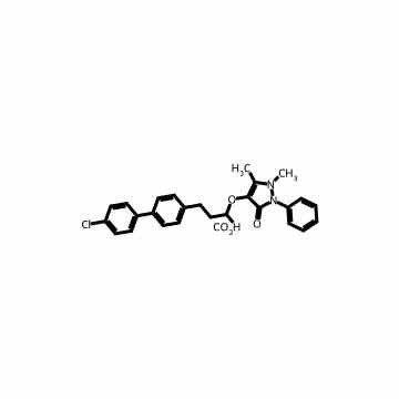 Cc1c(OC(CCc2ccc(-c3ccc(Cl)cc3)cc2)C(=O)O)c(=O)n(-c2ccccc2)n1C